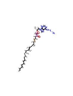 CCCCCCCCCCCCCCCCSSCC[PH](=O)CO[C@H](C)Cn1cnc2c(N)ncnc21